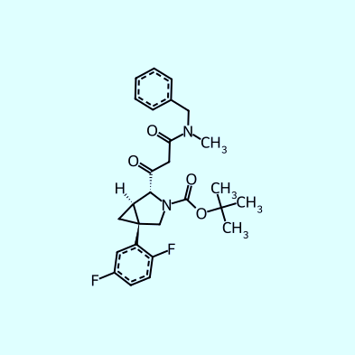 CN(Cc1ccccc1)C(=O)CC(=O)[C@H]1[C@@H]2C[C@@]2(c2cc(F)ccc2F)CN1C(=O)OC(C)(C)C